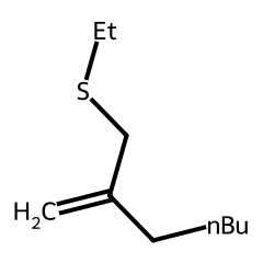 C=C(CCCCC)CSCC